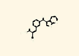 N#CC(=Cc1cccc(C(=O)c2c[nH]c3ncccc23)c1)C(N)=O